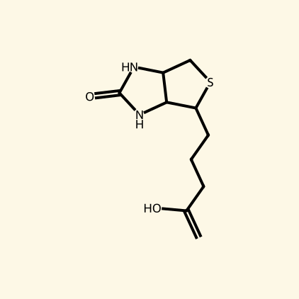 C=C(O)CCCC1SCC2NC(=O)NC21